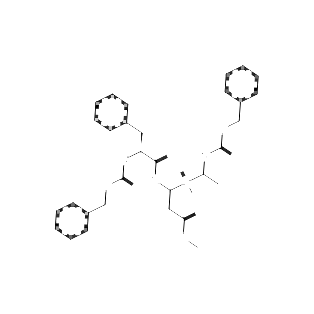 COC(=O)CC(NC(=O)[C@H](Cc1ccccc1)NC(=O)OCc1ccccc1)P(=O)(O)C(C)NC(=O)OCc1ccccc1